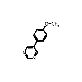 FC(F)(F)Oc1ccc(-c2cncnc2)cc1